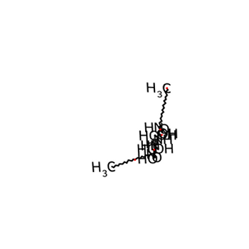 CCCCCCCCCCCCCCCCCCNC(=CC(O)C(O)NCCNC(O)C(O)C=C(NCCCCCCCCCCCCCCCCCC)C(=O)O)C(=O)O